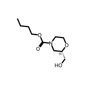 CCCCOC(=O)N1CCO[C@H](CO)C1